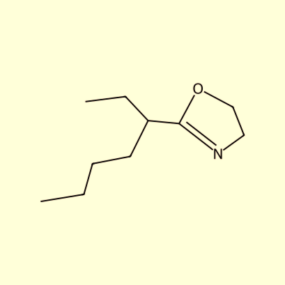 CCCCC(CC)C1=NCCO1